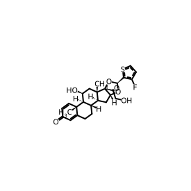 C[C@]12C=CC(=O)C=C1CC[C@@H]1[C@@H]2[C@@H](O)C[C@@]2(C)[C@H]1C[C@H]1O[C@H](c3sccc3F)O[C@]12C(=O)CO